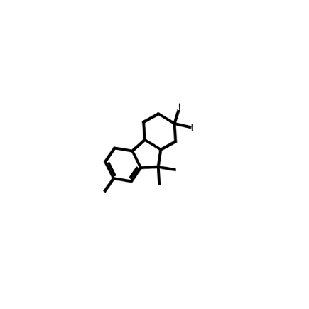 CC1=CCC2C(=C1)C(C)(C)C1CC(I)(I)CCC21